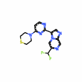 FC(F)c1cn2c(-c3nccc(N4CCSCC4)n3)cnc2cn1